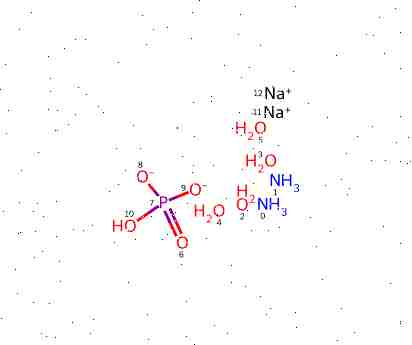 N.N.O.O.O.O.O=P([O-])([O-])O.[Na+].[Na+]